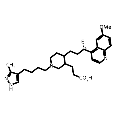 COc1ccc2nccc([C@@H](F)CCC3CCN(CCCCc4c[nH]nc4C)CC3CCC(=O)O)c2c1